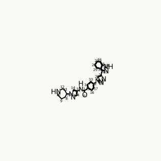 O=C(Nc1cnn(C2CCCNCC2)c1)c1ccc(-n2cc(-c3n[nH]c4ccccc34)nn2)cc1